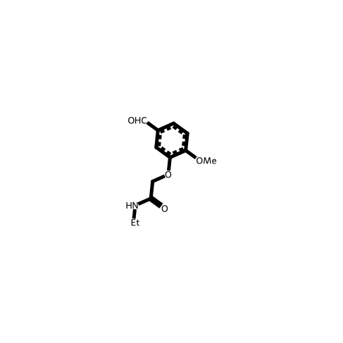 CCNC(=O)COc1cc(C=O)ccc1OC